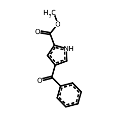 COC(=O)c1cc(C(=O)c2ccccc2)c[nH]1